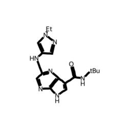 CCn1cc(Nc2cnc3[nH]cc(C(=O)NC(C)(C)C)c3n2)cn1